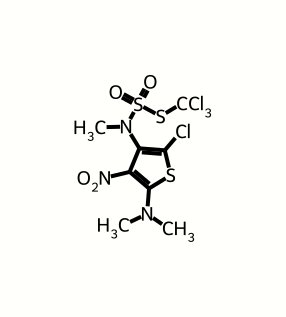 CN(C)c1sc(Cl)c(N(C)S(=O)(=O)SC(Cl)(Cl)Cl)c1[N+](=O)[O-]